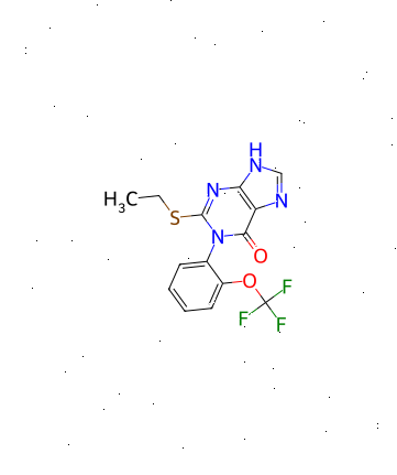 CCSc1nc2[nH]cnc2c(=O)n1-c1ccccc1OC(F)(F)F